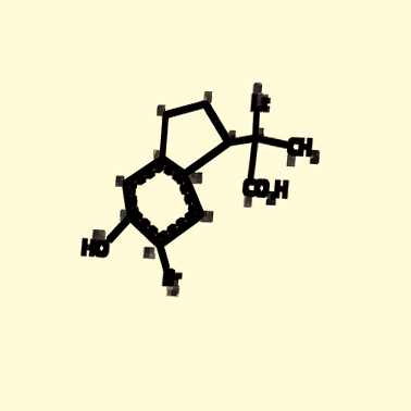 CCC(C)(C(=O)O)C1CCc2cc(O)c(Br)cc21